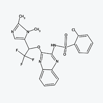 Cc1ncc(C(Oc2nc3ccccc3nc2NS(=O)(=O)c2ccccc2Cl)C(F)(F)F)n1C